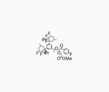 COC(=O)CO[C@H](OC(C)c1cc(C2(F)CC(C)CC(F)C2(F)C(C)C)cc(C2(F)CC(C)CC(F)[C@]2(F)C(C)C)c1)C(=O)c1ccc(F)cc1